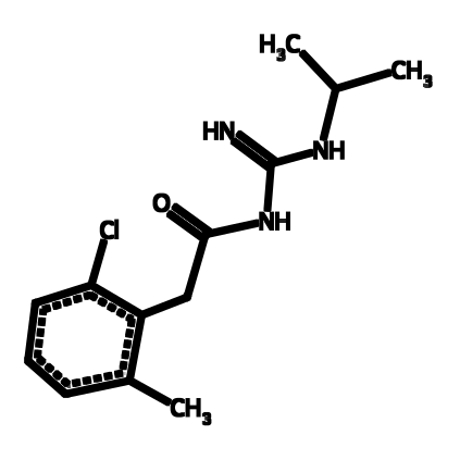 Cc1cccc(Cl)c1CC(=O)NC(=N)NC(C)C